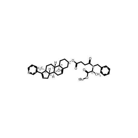 C[C@@H](C(=O)OC(C)(C)C)N(Cc1ccccc1)C(=O)CCC(=O)O[C@H]1CC[C@@]2(C)C(=CC[C@@H]3[C@@H]2CC[C@]2(C)C(c4cccnc4)=CC[C@@H]32)C1